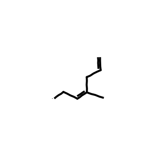 [CH2]CC=C(C)CC=C